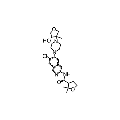 CC1(C)OCCC1C(=O)Nc1cc2cc(N3CCN(C4(C)COCC4O)CC3)c(Cl)cc2cn1